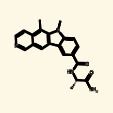 Cc1c2ccncc2cc2c3cc(C(=O)N[C@@H](C)C(N)=O)ccc3n(C)c12